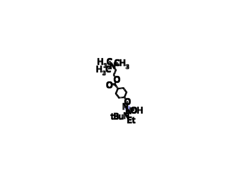 CCN(/[N+](O)=N/O[C@H]1CC[C@@H](C(=O)OCC[N+](C)(C)C)CC1)C(C)(C)C